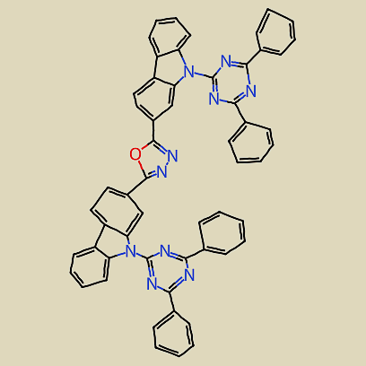 c1ccc(-c2nc(-c3ccccc3)nc(-n3c4ccccc4c4ccc(-c5nnc(-c6ccc7c8ccccc8n(-c8nc(-c9ccccc9)nc(-c9ccccc9)n8)c7c6)o5)cc43)n2)cc1